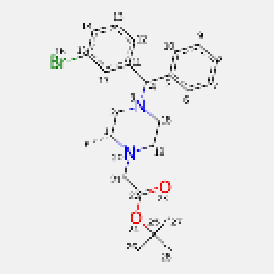 C[C@@H]1CN(C(c2ccccc2)c2cccc(Br)c2)CCN1CC(=O)OC(C)(C)C